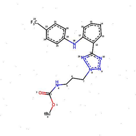 CC(C)(C)OC(=O)NCCCn1nnc(-c2ccccc2Nc2ccc(C(F)(F)F)cc2)n1